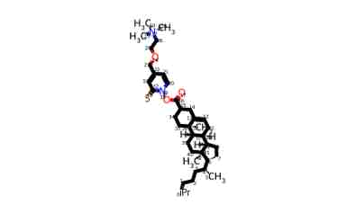 CC(C)CCC[C@@H](C)[C@H]1CC[C@H]2[C@@H]3CC=C4CC(C(=O)On5ccc(COCC[N+](C)(C)C)cc5=S)CC[C@]4(C)[C@H]3CC[C@]12C